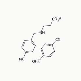 N#Cc1ccc(C=O)cc1.N#Cc1ccc(CNCCC(=O)O)cc1